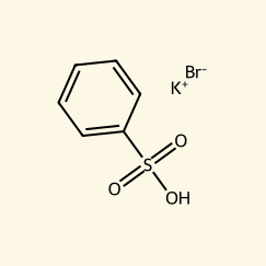 O=S(=O)(O)c1ccccc1.[Br-].[K+]